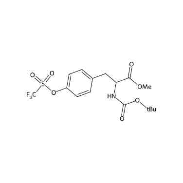 COC(=O)C(Cc1ccc(OS(=O)(=O)C(F)(F)F)cc1)NC(=O)OC(C)(C)C